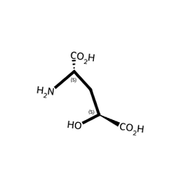 N[C@@H](C[C@H](O)C(=O)O)C(=O)O